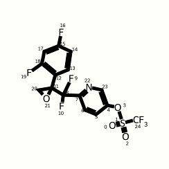 O=S(=O)(Oc1ccc(C(F)(F)C2(c3ccc(F)cc3F)CO2)nc1)C(F)(F)F